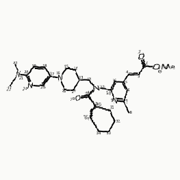 COC(=O)/C=C/c1cc(C)nc(N(CC2CCN(c3ccc(N(C)C)nc3)CC2)C(=O)C2CCCCC2)c1